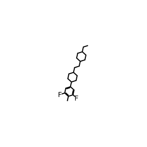 CCC1CCC(CCC2CCC(c3cc(F)c(C)c(F)c3)CC2)CC1